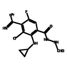 CCCC(=N)c1c(F)cc(C(=O)NNC=O)c(NC2CC2)c1Cl